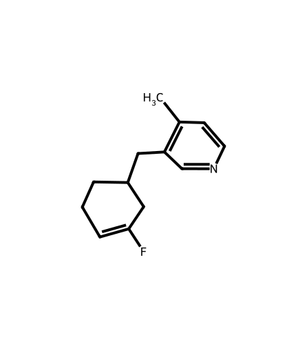 Cc1ccncc1CC1CCC=C(F)C1